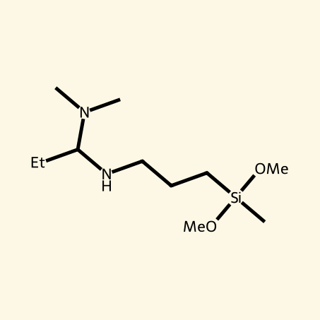 CCC(NCCC[Si](C)(OC)OC)N(C)C